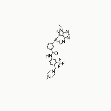 CCn1nc(C#Cc2cccc(C(=O)Nc3ccc(CN4CCN(C)CC4)c(C(F)(F)F)c3)c2)c2c(N)ncnc21